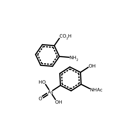 CC(=O)Nc1cc([As](=O)(O)O)ccc1O.Nc1ccccc1C(=O)O